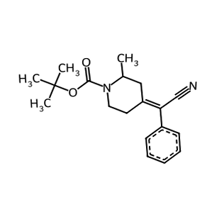 CC1CC(=C(C#N)c2ccccc2)CCN1C(=O)OC(C)(C)C